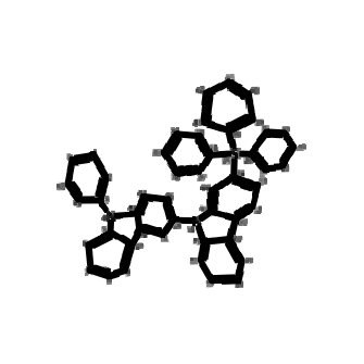 c1ccc(-n2c3ccccc3c3cc(-n4c5ccccc5c5ccc([Si](c6ccccc6)(c6ccccc6)c6ccccc6)cc54)ccc32)cc1